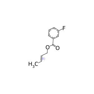 C/C=C/COC(=O)c1cccc(F)c1